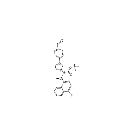 C[C@H](c1ccc(F)c2ccccc12)N(C(=O)OC(C)(C)C)[C@H]1CC[C@@H](c2ccc(C=O)cc2)C1